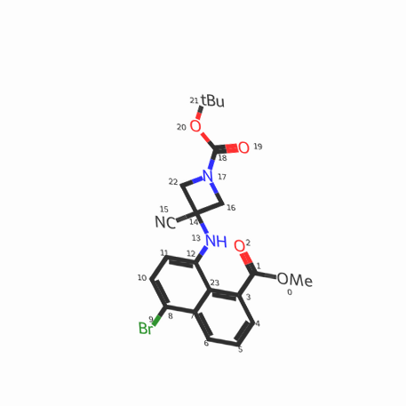 COC(=O)c1cccc2c(Br)ccc(NC3(C#N)CN(C(=O)OC(C)(C)C)C3)c12